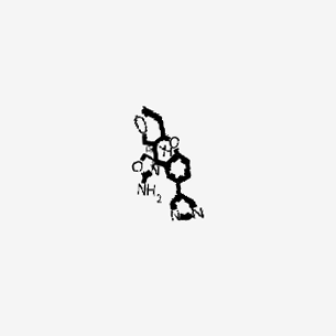 NC1=N[C@@]2(CO1)c1cc(-c3cncnc3)ccc1OC1CCOC[C@@H]12